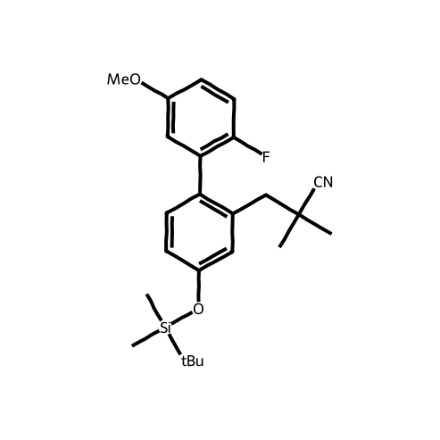 COc1ccc(F)c(-c2ccc(O[Si](C)(C)C(C)(C)C)cc2CC(C)(C)C#N)c1